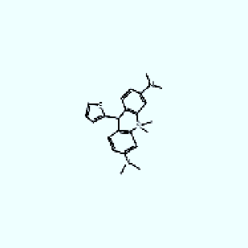 CN(C)c1ccc2c(c1)S(C)(C)c1cc(N(C)C)ccc1C2c1cccs1